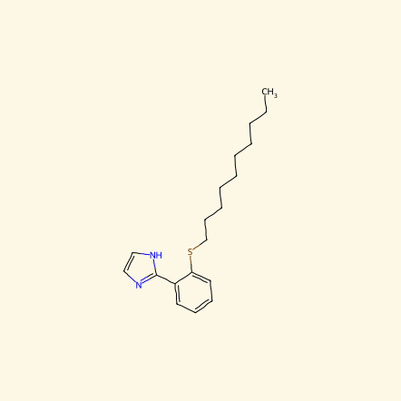 CCCCCCCCCCSc1ccccc1-c1ncc[nH]1